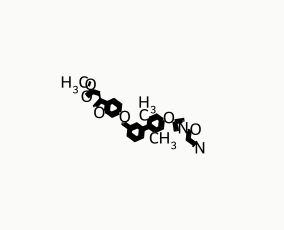 COC(=O)C[C@@H]1COc2cc(OCc3cccc(-c4c(C)cc(OC5CN(C(=O)CC#N)C5)cc4C)c3)ccc21